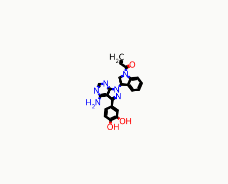 C=CC(=O)N1CC(n2nc(-c3ccc(O)c(O)c3)c3c(N)ncnc32)c2ccccc21